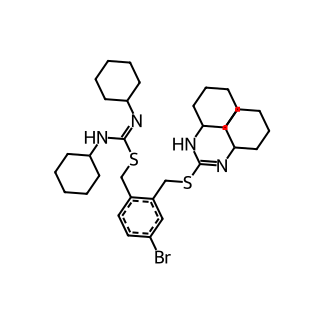 Brc1ccc(CS/C(=N/C2CCCCC2)NC2CCCCC2)c(CS/C(=N/C2CCCCC2)NC2CCCCC2)c1